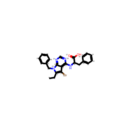 CCc1c(Br)c2c(NC(Cc3ccccc3)C(=O)O)ncnc2n1Cc1ccccc1